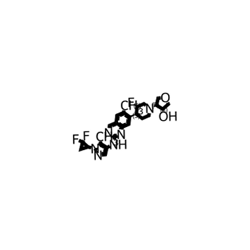 Cc1cc2cnc(Nc3cnn(C4CC4(F)F)c3C)nc2cc1[C@@H]1CCN([C@@H]2COC[C@@H]2O)C[C@H]1F